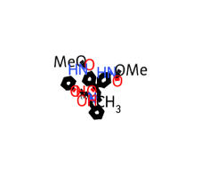 COC(=O)Nc1ccc(C(O)(CC(C)N(Cc2ccccc2)C[C@H](O)COc2ccccc2)c2ccc(NC(=O)OC)cc2)cc1